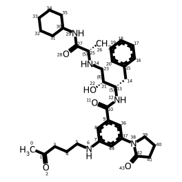 CC(=O)CCCNc1cc(C(=O)N[C@@H](Cc2ccccc2)[C@H](O)CN[C@@H](C)C(=O)NC2CCCCC2)cc(N2CCCC2=O)c1